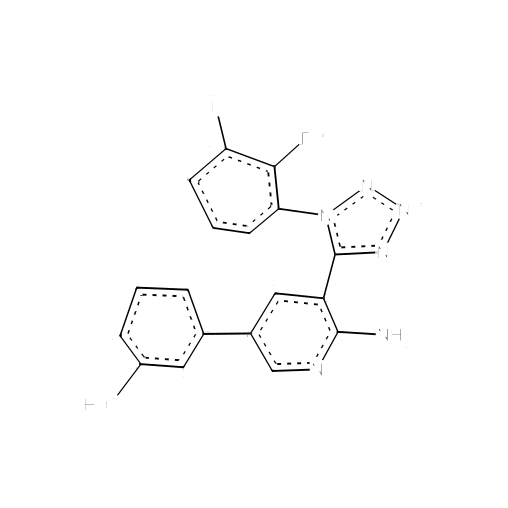 Cc1cccc(-c2cnc(N)c(-c3nnnn3-c3cccc(F)c3F)c2)c1